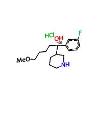 COCCCC[C@@](O)(c1cccc(F)c1)C1CCCNC1.Cl